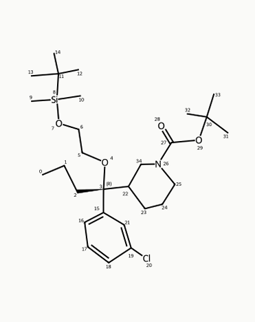 CCC[C@](OCCO[Si](C)(C)C(C)(C)C)(c1cccc(Cl)c1)C1CCCN(C(=O)OC(C)(C)C)C1